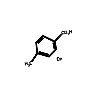 Cc1ccc(C(=O)O)cc1.[Ce]